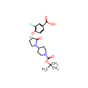 CC(C)(C)OC(=O)N1CCC(N2CC[C@H](Oc3ccc(C(=O)O)cc3F)C2=O)CC1